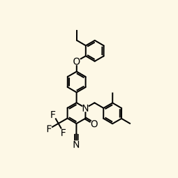 CCc1ccccc1Oc1ccc(-c2cc(C(F)(F)F)c(C#N)c(=O)n2Cc2ccc(C)cc2C)cc1